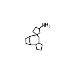 NC1CCC2(C1)CC1CCCC1C1CCC2C1